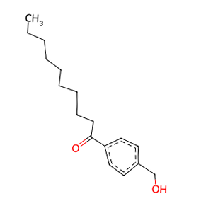 CCCCCCCCCC(=O)c1ccc(CO)cc1